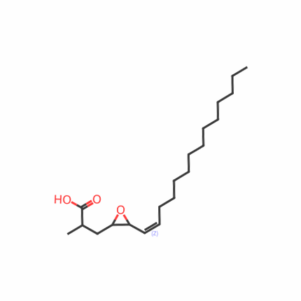 CCCCCCCCCCCC/C=C\C1OC1CC(C)C(=O)O